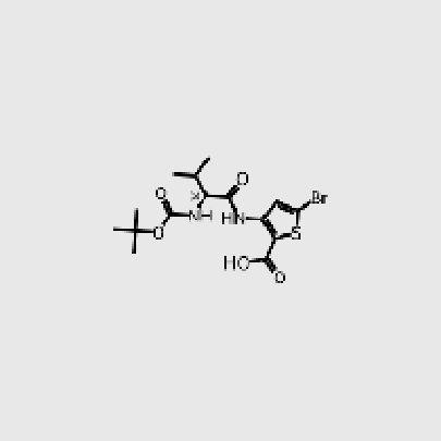 CC(C)[C@H](NC(=O)OC(C)(C)C)C(=O)Nc1cc(Br)sc1C(=O)O